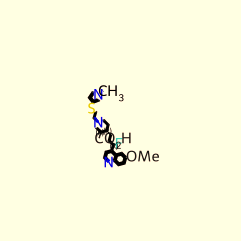 COc1ccc2nccc([C@H](F)CC[C@@H]3CCN(CCSc4ccn(C)c4)C[C@@H]3C(=O)O)c2c1